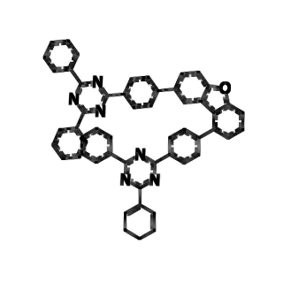 C1=CC(c2nc(-c3ccccc3)nc(-c3ccc(-c4cccc5oc6ccc(-c7ccc(-c8nc(-c9ccccc9)nc(-c9ccccc9)n8)cc7)cc6c45)cc3)n2)=CCC1